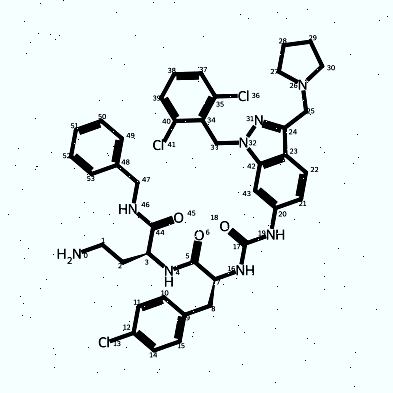 NCC[C@H](NC(=O)[C@H](Cc1ccc(Cl)cc1)NC(=O)Nc1ccc2c(CN3CCCC3)nn(Cc3c(Cl)cccc3Cl)c2c1)C(=O)NCc1ccccc1